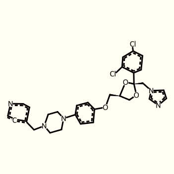 Clc1ccc([C@]2(Cn3ccnc3)OC[C@@H](COc3ccc(N4CCN(Cc5ccncc5)CC4)cc3)O2)c(Cl)c1